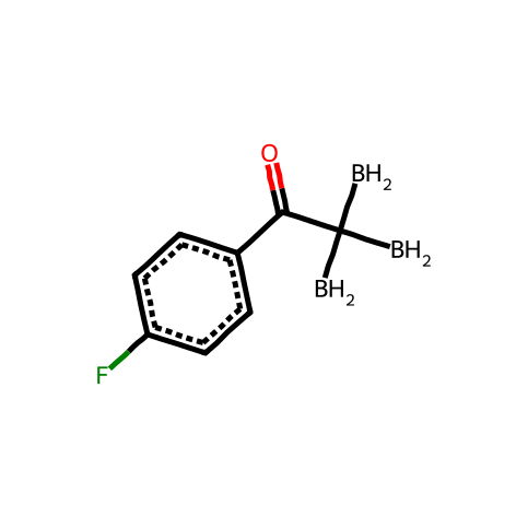 BC(B)(B)C(=O)c1ccc(F)cc1